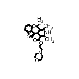 CC(=O)C1=C(C)NC(C)=C(C(=O)OCCN2CCOCC2)C1c1csc2ccccc12